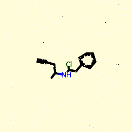 C#CCC(C)NC(Cl)Cc1ccccc1